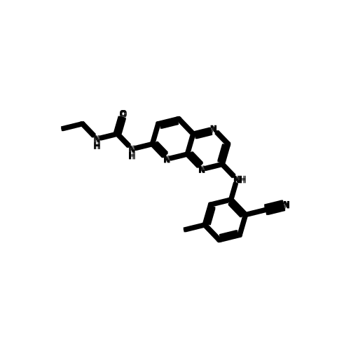 CCNC(=O)Nc1ccc2ncc(Nc3cc(C)ccc3C#N)nc2n1